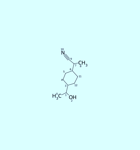 CC(O)C1CCC(C(C)C#N)CC1